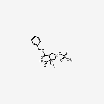 C[C@]1(C(=O)O)C[C@@H](OS(C)(=O)=O)CN1C(=O)OCc1ccccc1